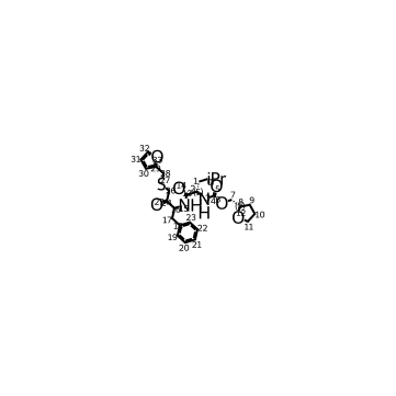 CC(C)C[C@H](NC(=O)OC[C@@H]1CCCO1)C(=O)NC(Cc1ccccc1)C(=O)CSCc1ccco1